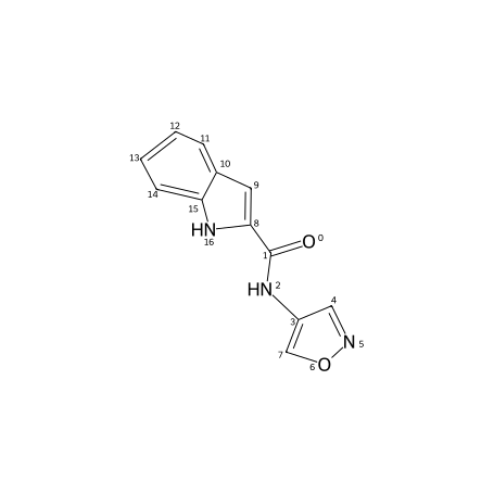 O=C(Nc1cnoc1)c1cc2ccccc2[nH]1